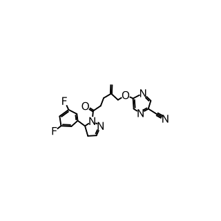 C=C(CCC(=O)N1N=CCC1c1cc(F)cc(F)c1)COc1cnc(C#N)cn1